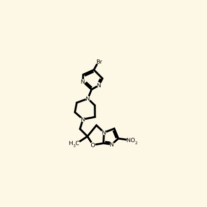 CC1(CN2CCN(c3ncc(Br)cn3)CC2)Cn2cc([N+](=O)[O-])nc2O1